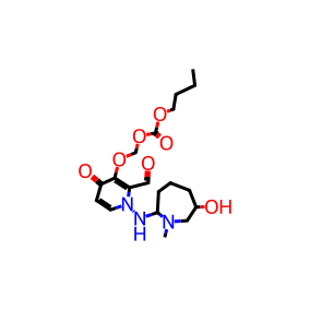 CCCCOC(=O)OCOc1c(C=O)n(NC2CCCC(O)CN2C)ccc1=O